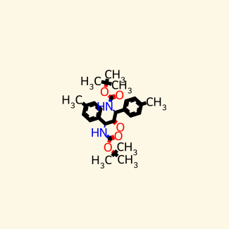 Cc1ccc([C@@H](NC(=O)OC(C)(C)C)C(=O)[C@H](NC(=O)OC(C)(C)C)c2ccc(C)cc2)cc1